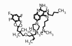 C=CC(C)(COCC(C)(C)CC(=O)Oc1c(F)c(F)cc(F)c1F)CN1CCN(c2ccc3nc(N)c4nc(CCCC)n(CCCCN(C)C)c4c3c2)CC1